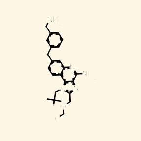 CC(C)(O)Cn1c(COCC(F)(F)F)nc2c(N)nc3cc(Cc4cccc(CN)c4)ccc3c21